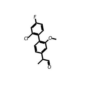 COc1cc(C(C)C=O)ccc1-c1ccc(F)cc1Cl